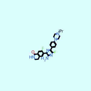 CC(C)N1CCN(c2ccc(-c3nc(-c4cc5c(cc4F)C(=O)NCC5)c(N)nc3F)cc2)CC1